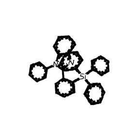 c1ccc(-n2c(-c3ccccc3[Si](c3ccccc3)(c3ccccc3)c3ccccc3)nc3ccccc32)cc1